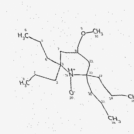 CCCC1(CCC)CC(OC)CC(CCC)(CCC)[NH+]1[O-]